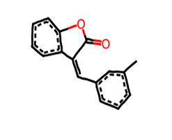 Cc1cccc(C=C2C(=O)Oc3ccccc32)c1